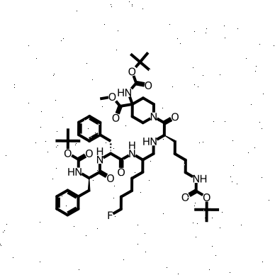 COC(=O)C1(NC(=O)OC(C)(C)C)CCN(C(=O)[C@@H](CCCCNC(=O)OC(C)(C)C)NCC(CCCCCF)NC(=O)[C@@H](Cc2ccccc2)NC(=O)[C@@H](Cc2ccccc2)NC(=O)OC(C)(C)C)CC1